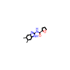 Cc1cc2nc(NC(=O)c3ccco3)[nH]c2cc1C